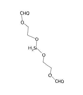 O=COCCO[SiH2]OCCOC=O